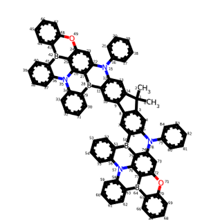 CC1(C)c2cc3c(cc2-c2cc4c(cc21)N(c1ccccc1)c1cc2c5c6c1B4c1ccccc1N6c1ccccc1B5c1ccccc1O2)B1c2ccccc2N2c4ccccc4B4c5ccccc5Oc5cc(c1c2c54)N3c1ccccc1